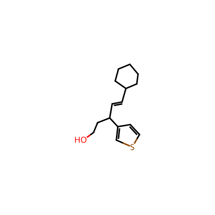 OCCC(C=CC1CCCCC1)c1ccsc1